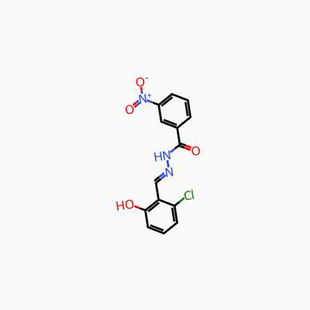 O=C(N/N=C/c1c(O)cccc1Cl)c1cccc([N+](=O)[O-])c1